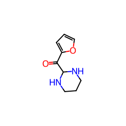 O=C(c1ccco1)C1NCCCN1